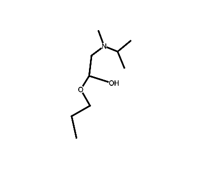 CCCOC(O)CN(C)C(C)C